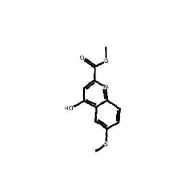 COC(=O)c1cc(O)c2cc(SC)ccc2n1